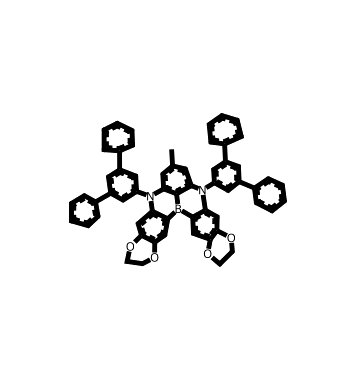 Cc1cc2c3c(c1)N(c1cc(-c4ccccc4)cc(-c4ccccc4)c1)c1cc4c(cc1B3c1cc3c(cc1N2c1cc(-c2ccccc2)cc(-c2ccccc2)c1)OCCO3)OCCO4